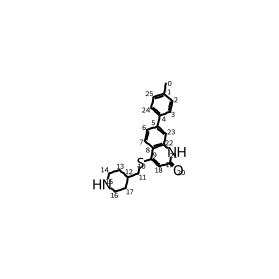 Cc1ccc(-c2ccc3c(SCC4CCNCC4)cc(=O)[nH]c3c2)cc1